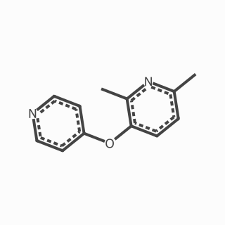 Cc1ccc(Oc2ccncc2)c(C)n1